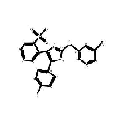 CS(=O)(=O)c1ccccc1-c1nc(Sc2cccc(Br)c2)sc1-c1ccc(F)cc1